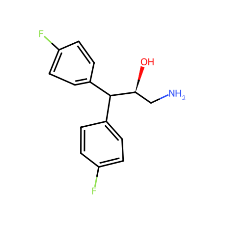 NC[C@H](O)C(c1ccc(F)cc1)c1ccc(F)cc1